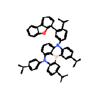 CC(C)c1ccc(N2c3ccc(C(C)C)cc3B3c4cc(C(C)C)ccc4N(c4ccc(C(C)C)c(-c5cccc6c5oc5ccccc56)c4)c4cccc2c43)cc1